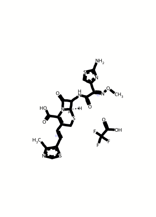 CO/N=C(/C(=O)NC1C(=O)N2C(C(=O)O)=C(/C=C/c3scnc3C)CS[C@H]12)c1csc(N)n1.O=C(O)C(F)(F)F